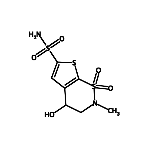 CN1CC(O)c2cc(S(N)(=O)=O)sc2S1(=O)=O